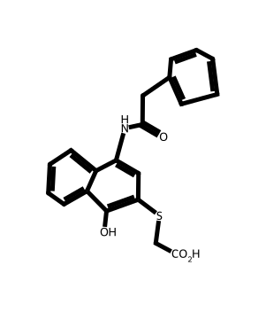 O=C(O)CSc1cc(NC(=O)Cc2ccccc2)c2ccccc2c1O